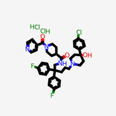 Cl.Cl.O=C(NCC(CCCN1CCC(O)(c2ccc(Cl)cc2)CC1)(c1ccc(F)cc1)c1ccc(F)cc1)C1CCN(C(=O)c2ccncc2)CC1